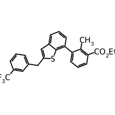 CCOC(=O)c1cccc(-c2cccc3cc(Cc4cccc(C(F)(F)F)c4)sc23)c1C